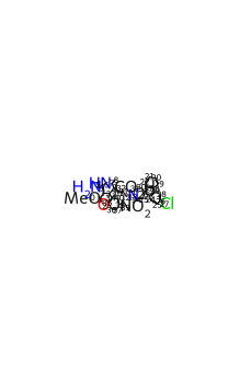 COC(=O)C1=C(N)NC(C)C(CCCN2CCC(c3ccccc3)(c3ccc(Cl)cc3)CC2)(C(=O)O)C1c1cccc([N+](=O)[O-])c1